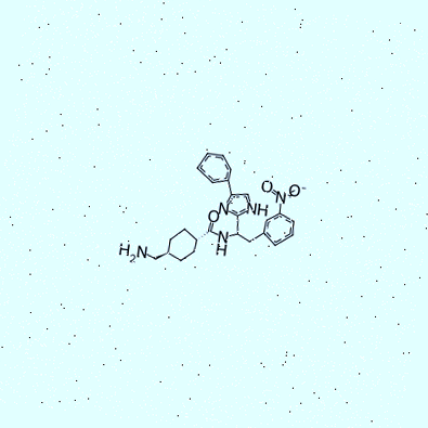 NC[C@H]1CC[C@H](C(=O)NC(Cc2cccc([N+](=O)[O-])c2)c2nc(-c3ccccc3)c[nH]2)CC1